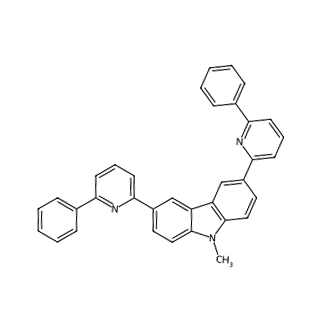 Cn1c2ccc(-c3cccc(-c4ccccc4)n3)cc2c2cc(-c3cccc(-c4ccccc4)n3)ccc21